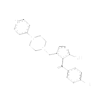 Nc1scc(CN2CCN(c3ccncc3)CC2)c1C(=O)c1ccc(Cl)cc1